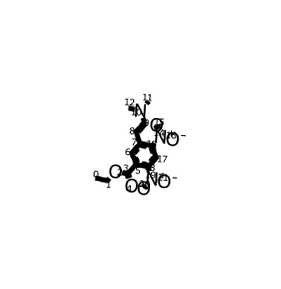 CCOC(=O)c1cc(/C=C/N(C)C)c([N+](=O)[O-])cc1[N+](=O)[O-]